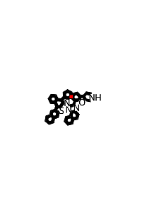 C1=Cc2c(oc3c(-c4nc5ccc6ccccc6c5nc4-n4c5ccccc5c5c6ccccc6c6c7cc8ccccc8cc7sc6c54)cccc23)CN1